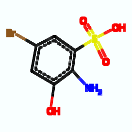 Nc1c(O)cc(Br)cc1S(=O)(=O)O